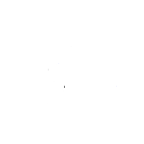 CC(O)C1C(=O)N2C(C(=O)O)=C(SC3CNC3)C[C@H]12